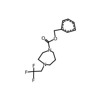 O=C(OCc1ccccc1)N1CCCN(CC(F)(F)F)CC1